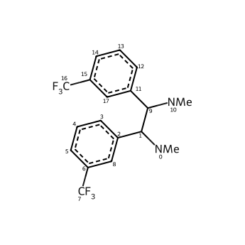 CNC(c1cccc(C(F)(F)F)c1)C(NC)c1cccc(C(F)(F)F)c1